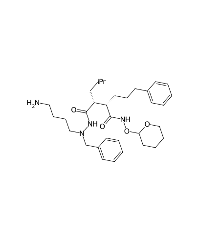 CC(C)C[C@@H](C(=O)NN(CCCCN)Cc1ccccc1)[C@H](CCCc1ccccc1)C(=O)NOC1CCCCO1